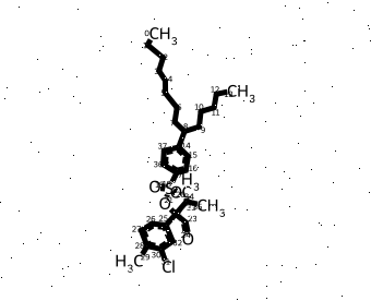 CCCCCCCCC(CCCCC)c1ccc(S(=O)(=O)OC(C=O)(c2ccc(C)c(Cl)c2)C(C)C)cc1